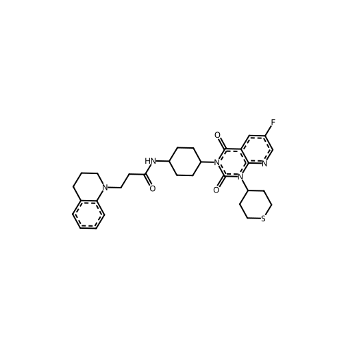 O=C(CCN1CCCc2ccccc21)NC1CCC(n2c(=O)c3cc(F)cnc3n(C3CCSCC3)c2=O)CC1